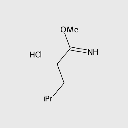 COC(=N)CCC(C)C.Cl